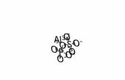 O=P([O-])([O-])OS(=O)(=O)[O-].[Al+3]